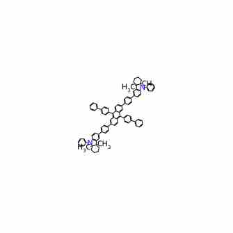 CC12CCCCC1(C)N(c1ccccc1)c1ccc(-c3ccc(-c4ccc5c(-c6ccc(-c7ccccc7)cc6)c6cc(-c7ccc(-c8ccc9c(c8)C8(C)CCCCC8(C)N9c8ccccc8)cc7)ccc6c(-c6ccc(-c7ccccc7)cc6)c5c4)cc3)cc12